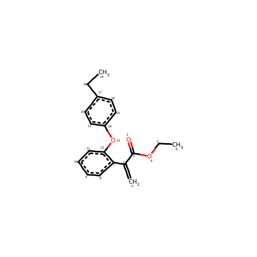 C=C(C(=O)OCC)c1ccccc1Oc1ccc(CC)cc1